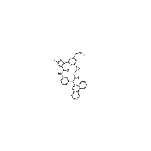 Cc1cc(C(=O)Nc2cccc(C(NCC3CC3)c3cc4ccccc4c4ccccc34)c2)n(-c2cccc(CN)c2)n1